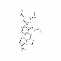 CCCCc1c(-c2ccc(N)cc2)ccc(N(CCCC)CCCC)c1CCCC